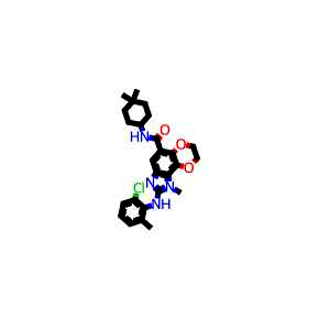 Cc1cccc(Cl)c1Nc1nc2cc(C(=O)NC3CCC(C)(C)CC3)c3c(c2n1C)OCCO3